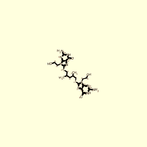 CC(CSc1nc2c(=O)[nH]c(N)nc2n1CCO)CC(C)CSc1nc2c(=O)[nH]c(N)nc2n1CCO